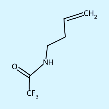 C=CCCNC(=O)C(F)(F)F